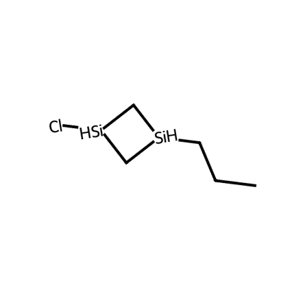 CCC[SiH]1C[SiH](Cl)C1